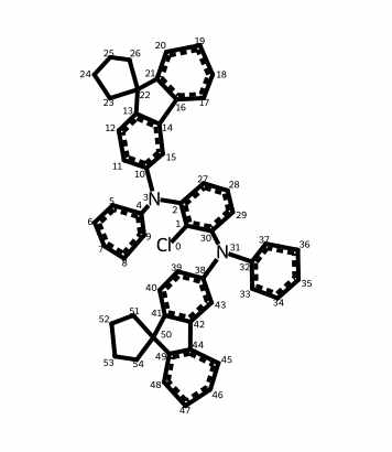 Clc1c(N(c2ccccc2)c2ccc3c(c2)-c2ccccc2C32CCCC2)cccc1N(c1ccccc1)c1ccc2c(c1)-c1ccccc1C21CCCC1